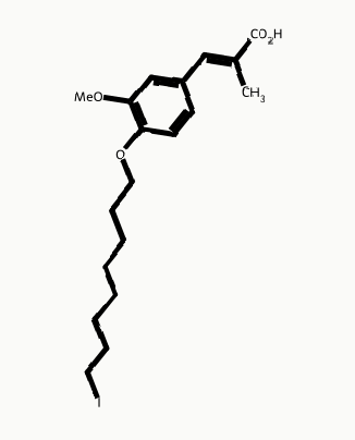 COc1cc(C=C(C)C(=O)O)ccc1OCCCCCCCCI